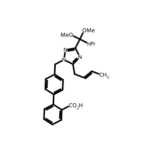 C/C=C/Cc1nc(C(CCC)(OC)OC)nn1Cc1ccc(-c2ccccc2C(=O)O)cc1